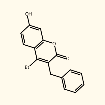 CCc1c(Cc2ccccc2)c(=O)oc2cc(O)ccc12